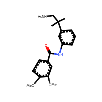 COc1ccc(C(=O)Nc2cccc(C(C)(C)CNC(C)=O)c2)cc1OC